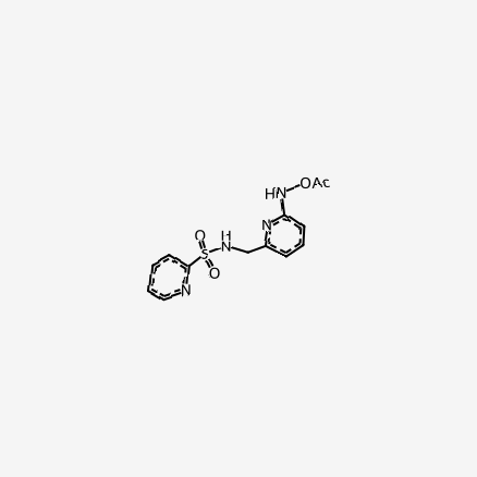 CC(=O)ONc1cccc(CNS(=O)(=O)c2ccccn2)n1